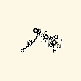 CO[C@H]1C[C@H](CO)[C@@H](O)[C@H](O)[C@H]1OC(=O)c1cc(Cl)c(OCc2nc3ccccc3n2CCCCCc2cn(CCCC=O)nn2)c(Cl)c1C